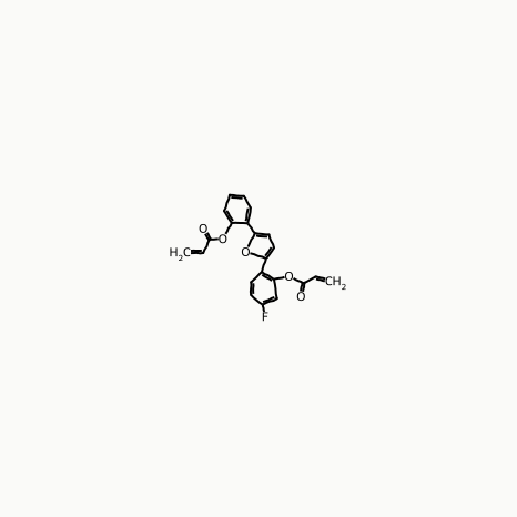 C=CC(=O)Oc1ccccc1-c1ccc(-c2ccc(F)cc2OC(=O)C=C)o1